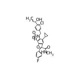 C=CC(O)c1ccc(CN(c2cc3oc(-c4ccc(F)cc4)c(C(=O)NC)c3cc2C2CC2)[SH](=O)=O)cc1Cl